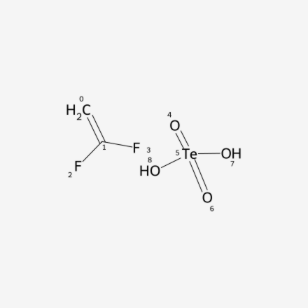 C=C(F)F.O=[Te](=O)(O)O